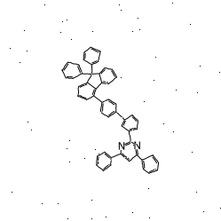 c1ccc(-c2cc(-c3ccccc3)nc(-c3cccc(-c4ccc(-c5cccc6c5-c5ccccc5C6(c5ccccc5)c5ccccc5)cc4)c3)n2)cc1